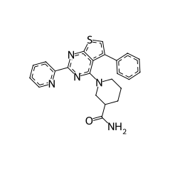 NC(=O)C1CCCN(c2nc(-c3ccccn3)nc3scc(-c4ccccc4)c23)C1